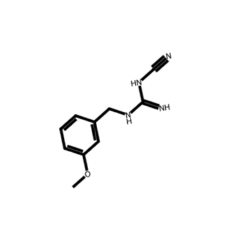 COc1cccc(CNC(=N)NC#N)c1